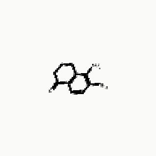 Nc1ccc2c(c1[N+](=O)[O-])CCCC2=O